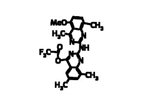 COc1ccc(C)c2nc(Nc3nc(OC(=O)C(F)(F)F)c4cc(C)cc(C)c4n3)nc(C)c12